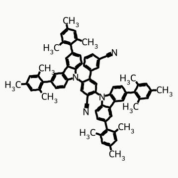 Cc1cc(C)c(-c2ccc3c(c2)c2cc(-c4c(C)cc(C)cc4C)ccc2n3-c2cc(-c3cccc(C#N)c3)c(-n3c4ccc(-c5c(C)cc(C)cc5C)cc4c4cc(-c5c(C)cc(C)cc5C)ccc43)cc2C#N)c(C)c1